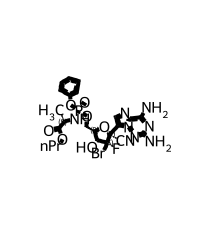 CCCOC(=O)[C@H](C)NP(=O)(OC[C@H]1O[C@@](C#N)(c2cnc3c(N)nc(N)nn23)[C@@](F)(Br)C1O)Oc1ccccc1